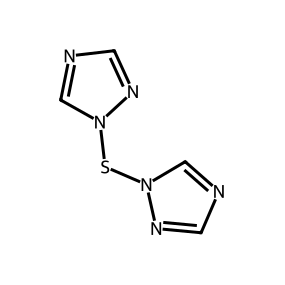 c1ncn(Sn2cncn2)n1